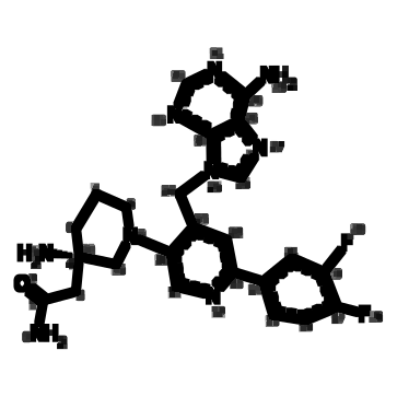 NC(=O)C[C@@]1(N)CCCN(c2cnc(-c3ccc(F)c(F)c3)cc2Cn2cnc3c(N)ncnc32)C1